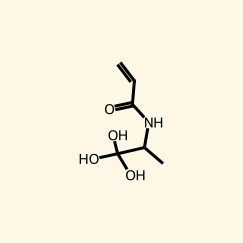 C=CC(=O)NC(C)C(O)(O)O